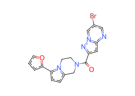 O=C(c1cc2ncc(Br)cn2n1)N1CCn2c(ccc2-c2ccco2)C1